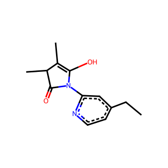 CCc1ccnc(N2C(=O)C(C)C(C)=C2O)c1